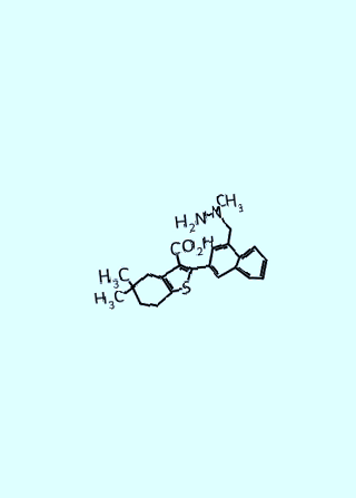 CN(N)Cc1cc(-c2sc3c(c2C(=O)O)CC(C)(C)CC3)cc2ccccc12